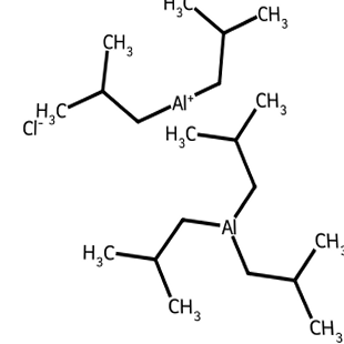 CC(C)[CH2][Al+][CH2]C(C)C.CC(C)[CH2][Al]([CH2]C(C)C)[CH2]C(C)C.[Cl-]